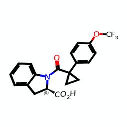 O=C(O)[C@H]1Cc2ccccc2N1C(=O)C1(c2ccc(OC(F)(F)F)cc2)CC1